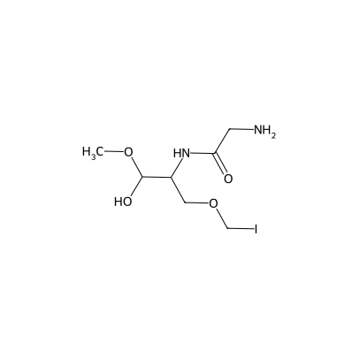 COC(O)C(COCI)NC(=O)CN